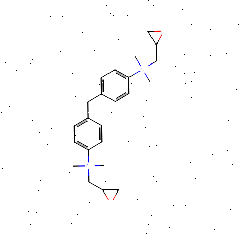 C[N+](C)(CC1CO1)c1ccc(Cc2ccc([N+](C)(C)CC3CO3)cc2)cc1